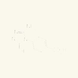 Nc1nnc(S)n1-c1ccc(C(=O)O)cc1